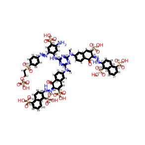 CN(c1ccc2c(c1)C=C(S(=O)(=O)O)/C(=N/Nc1ccc3c(S(=O)(=O)O)cccc3c1S(=O)(=O)O)C2=O)c1nc(Nc2cc(N)c(S(=O)(=O)O)cc2/N=N/c2ccc(S(=O)(=O)CCOS(=O)(=O)O)cc2)nc(N(C)c2ccc3c(c2)C=C(S(=O)(=O)O)/C(=N/Nc2ccc4c(S(=O)(=O)O)cccc4c2S(=O)(=O)O)C3=O)n1